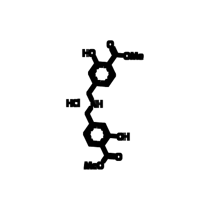 COC(=O)c1ccc(CNCc2ccc(C(=O)OC)c(O)c2)cc1O.Cl